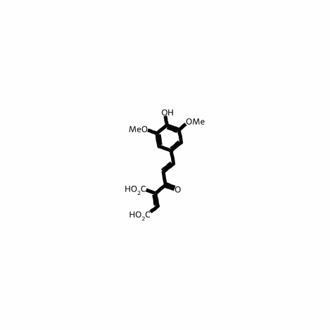 COc1cc(/C=C/C(=O)/C(=C/C(=O)O)C(=O)O)cc(OC)c1O